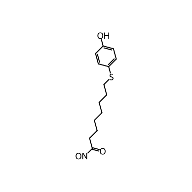 O=NC(=O)CCCCCCCSc1ccc(O)cc1